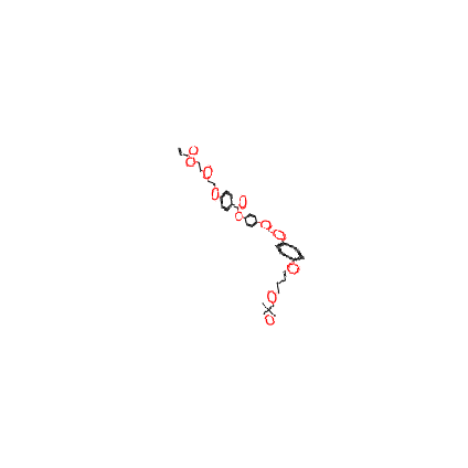 C=CC(=O)OCCOCCOc1ccc(C(=O)Oc2ccc(OCOc3ccc(OCCCCOCC4(C)COC4)cc3)cc2)cc1